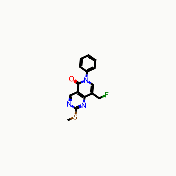 CSc1ncc2c(=O)n(-c3ccccc3)cc(CF)c2n1